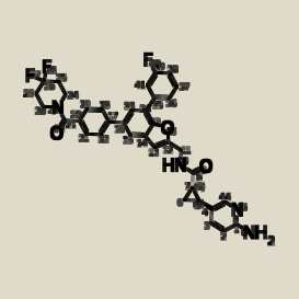 Nc1ccc([C@H]2C[C@@H]2C(=O)NCc2cc3cc(-c4ccc(C(=O)N5CCC(F)(F)CC5)cc4)cc(-c4cccc(F)c4)c3o2)cn1